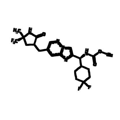 CC(C)(C)OC(=O)N[C@H](c1cn2ncc(CC3C[C@@](C)(C(F)(F)F)NC3=O)cc2n1)C1CCC(F)(F)CC1